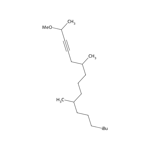 [CH2]CC(C)CCCC(C)CCCC(C)CC#CC(C)OC